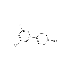 CCCN1CC=C(c2cc(F)cc(C(F)(F)F)c2)CC1